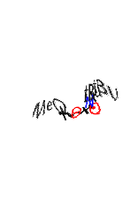 COC(C)(C)CCOCC(C)(C)C(=O)N(CC(C)(C)C)C(C)(C)CC(C)(C)C